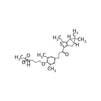 Cc1cc(CCC(=O)c2sc(C)c3c2C[C@@H]2[C@H]3C2(C)C)cc(C)c1OCCCNS(C)(=O)=O